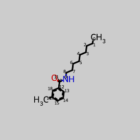 CCCCCCCCCNC(=O)c1cccc(C)c1